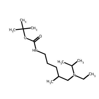 CCN(CC(C)CCCNC(=O)OC(C)(C)C)C(C)C